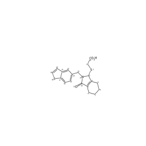 O=C(O)CSC1C2=C(CCCC2)C(=O)N1Cc1ccc2sccc2c1